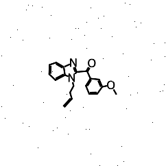 C=CCCn1c(C(=O)c2cccc(OC)c2)nc2ccccc21